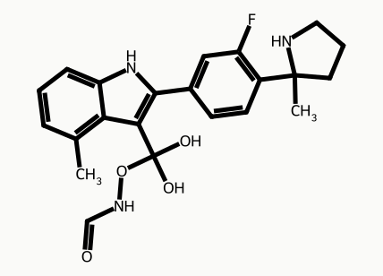 Cc1cccc2[nH]c(-c3ccc(C4(C)CCCN4)c(F)c3)c(C(O)(O)ONC=O)c12